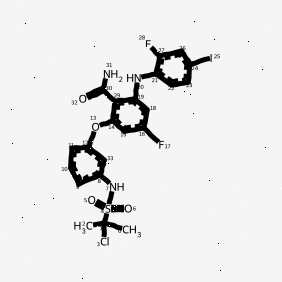 CC(C)(Cl)S(=O)(=O)Nc1cccc(Oc2cc(F)cc(Nc3ccc(I)cc3F)c2C(N)=O)c1